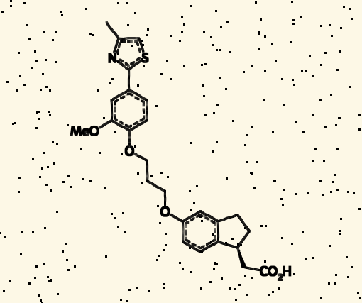 COc1cc(-c2nc(C)cs2)ccc1OCCCOc1ccc2c(c1)CC[C@H]2CC(=O)O